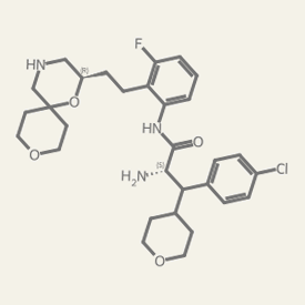 N[C@H](C(=O)Nc1cccc(F)c1CC[C@@H]1CNCC2(CCOCC2)O1)C(c1ccc(Cl)cc1)C1CCOCC1